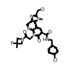 Cn1c(CCl)nc2cnc3c(cc(C(=O)NCc4ccc(Cl)cc4)c(=O)n3CC(=O)N3CC(C)(F)C3)c21